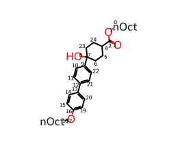 CCCCCCCCOC(=O)C1CCC(O)(c2ccc(-c3ccc(OCCCCCCCC)cc3)cc2)CC1